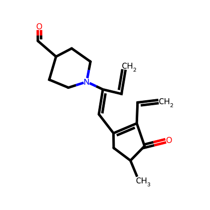 C=CC1=C(/C=C(\C=C)N2CCC(C=O)CC2)CC(C)C1=O